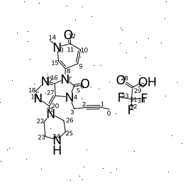 CC#CCn1c(=O)n(-c2ccc(=O)n(C)c2)c2ncnc(N3CCNCC3)c21.O=C(O)C(F)(F)F